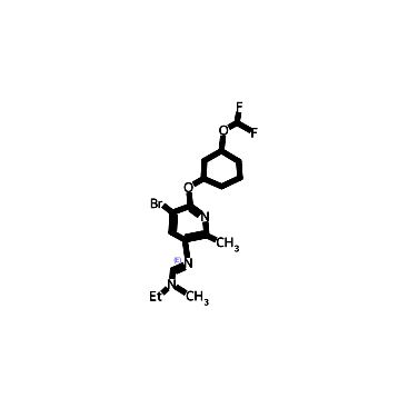 CCN(C)/C=N/c1cc(Br)c(OC2CCCC(OC(F)F)C2)nc1C